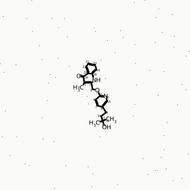 Cc1c(COc2ccc(CCC(C)(C)O)cn2)[nH]c2ccccc2c1=O